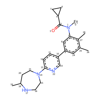 CCN(C(=O)C1CC1)c1cc(-c2ccc(N3CCNC(C)CC3)nc2)cc(C)c1C